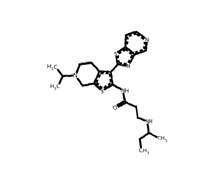 CCC(C)NCCC(=O)Nc1sc2c(c1-c1nc3cnccc3s1)CCN(C(C)C)C2